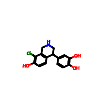 Oc1ccc(C2CNCc3c2ccc(O)c3Cl)cc1O